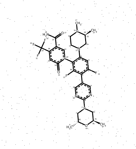 C[C@@H]1CN(c2ncc(-c3c(F)cc(N4CCN(C)[C@@H](C)C4)c(-n4cc(C(N)=O)c(C(F)(F)F)cc4=O)c3F)cn2)C[C@@H](C)O1